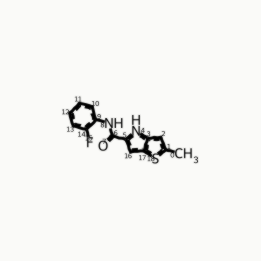 Cc1cc2[nH]c(C(=O)Nc3ccccc3F)cc2s1